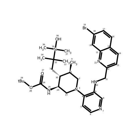 C[C@H]1CN(c2ccncc2NCc2ccc3ccc(Br)cc3n2)C[C@@H](NC(=O)OC(C)(C)C)[C@@H]1CC(C)(C)[Si](C)(C)O